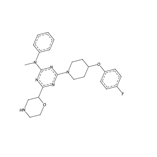 CN(c1ccccc1)c1nc(C2CNCCO2)nc(N2CCC(Oc3ccc(F)cc3)CC2)n1